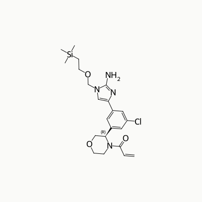 C=CC(=O)N1CCOC[C@H]1c1cc(Cl)cc(-c2cn(COCC[Si](C)(C)C)c(N)n2)c1